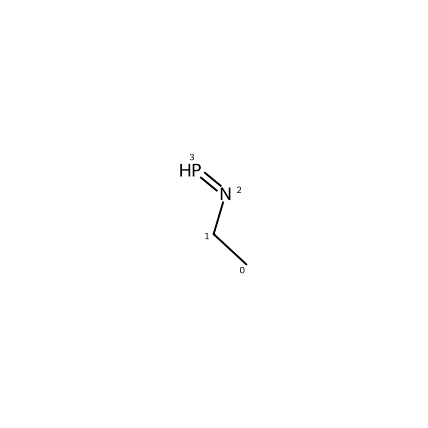 CCN=P